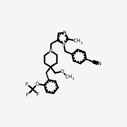 COCC1(Cc2ccccc2OC(F)(F)F)CCN(Cc2cnc(C)n2Cc2ccc(C#N)cc2)CC1